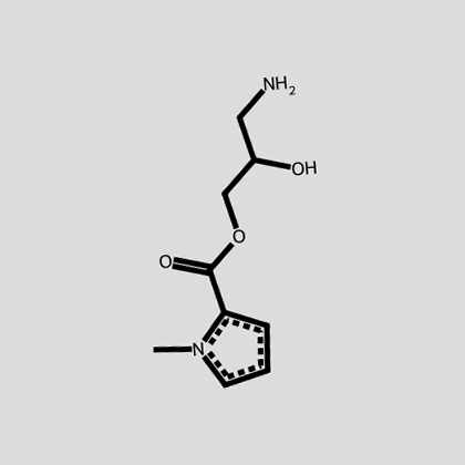 Cn1cccc1C(=O)OCC(O)CN